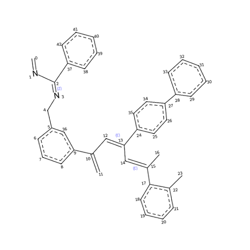 C=N/C(=N\Cc1cccc(C(=C)/C=C(\C=C(/C)c2ccccc2C)c2ccc(-c3ccccc3)cc2)c1)c1ccccc1